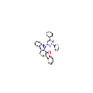 c1ccc(-c2cc(-n3c4ccccc4c4ccc5c6ccccc6oc5c43)nc(-c3ccccc3)n2)cc1